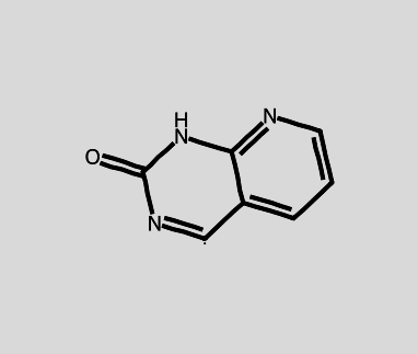 O=c1n[c]c2cccnc2[nH]1